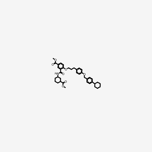 COC(=O)c1ccc(OCCCc2ccc(OCc3ccc(C4CCCCC4)cc3)cc2)c(C(=O)NC2CCCC(C(=O)OC)C2)c1